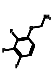 BCOc1ccc(F)c(F)c1F